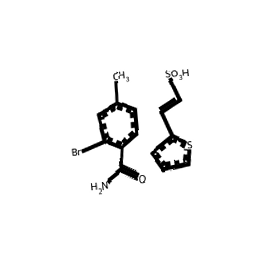 Cc1ccc(C(N)=O)c(Br)c1.O=S(=O)(O)/C=C/c1cccs1